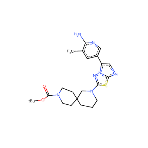 CC(C)(C)OC(=O)N1CCC2(CCCN(c3nn4c(-c5cnc(N)c(C(F)(F)F)c5)cnc4s3)C2)CC1